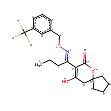 CCC/C(=N\OCc1cccc(C(F)(F)F)c1)C1=C(O)CC2(CCCC2)OC1=O